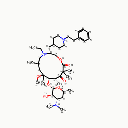 CCN1C[C@H](C)C[C@@](C)(OC)[C@H](O[C@@H]2O[C@H](C)C[C@H](N(C)C)[C@H]2O)[C@@H](C)C(=O)C(C)(C)C(=O)OC[C@H]1CC1CCN(CCc2ccccc2)CC1